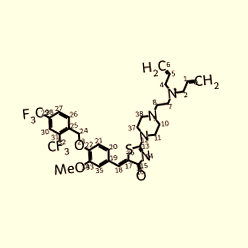 C=CCN(CC=C)CCN1CCN(C2=NC(=O)C(=Cc3ccc(OCc4ccc(C(F)(F)F)cc4C(F)(F)F)c(OC)c3)S2)CC1